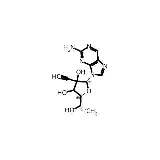 C#CC1(O)C(O)[C@@H]([C@H](C)O)O[C@H]1n1cnc2cnc(N)nc21